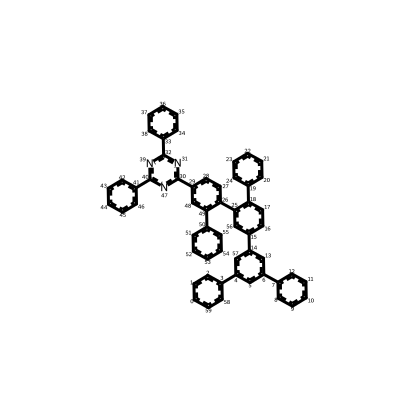 c1ccc(-c2cc(-c3ccccc3)cc(-c3ccc(-c4ccccc4)c(-c4ccc(-c5nc(-c6ccccc6)nc(-c6ccccc6)n5)cc4-c4ccccc4)c3)c2)cc1